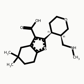 CNC[C@@H]1COCC[C@@H]1c1sc2c(c1C(=O)O)CC(C)(C)CC2